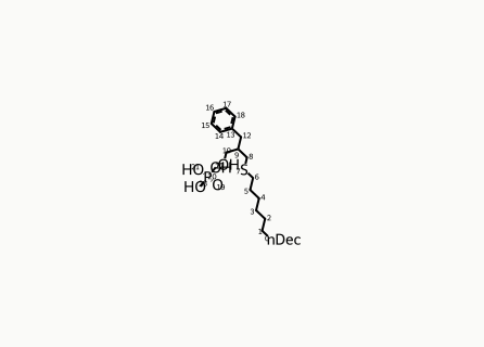 CCCCCCCCCCCCCCCCSCC(CO)Cc1ccccc1.O=P(O)(O)O